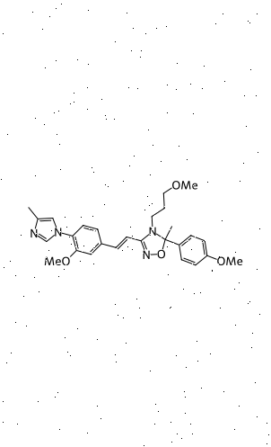 COCCCN1C(/C=C/c2ccc(-n3cnc(C)c3)c(OC)c2)=NOC1(C)c1ccc(OC)cc1